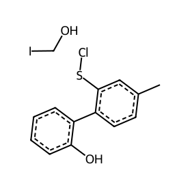 Cc1ccc(-c2ccccc2O)c(SCl)c1.OCI